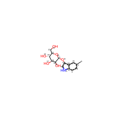 Cc1ccc2[nH]cc(O[C@@H]3OC(CO)[C@@H](O)[C@H](O)C3O)c2c1